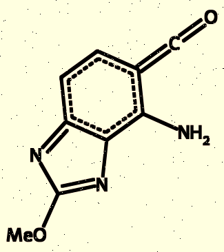 COC1=Nc2c(N)c(=C=O)ccc2=N1